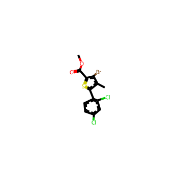 COC(=O)c1sc(-c2ccc(Cl)cc2Cl)c(C)c1Br